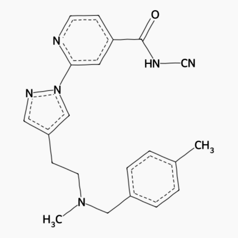 Cc1ccc(CN(C)CCc2cnn(-c3cc(C(=O)NC#N)ccn3)c2)cc1